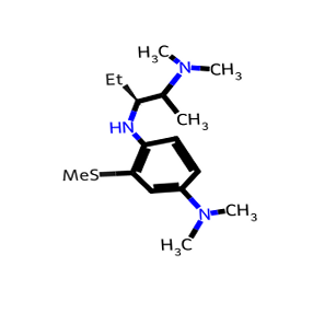 CC[C@H](Nc1ccc(N(C)C)cc1SC)C(C)N(C)C